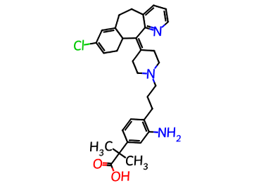 CC(C)(C(=O)O)c1ccc(CCCN2CCC(=C3c4ncccc4CCC4=CC(Cl)=CCC43)CC2)c(N)c1